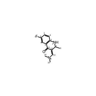 CC1Nc2ccc(F)cc2C(=O)/C1=C\N(C)C